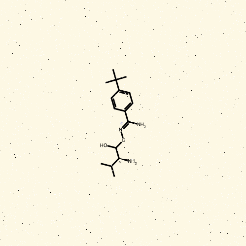 CC(C)[C@H](N)C(O)O/N=C(\N)c1ccc(C(C)(C)C)cc1